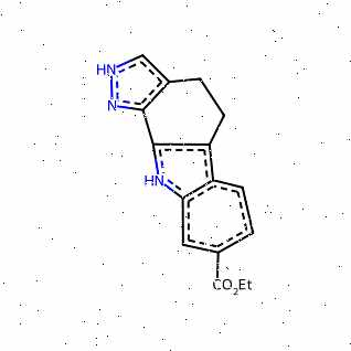 CCOC(=O)c1ccc2c3c([nH]c2c1)-c1n[nH]cc1CC3